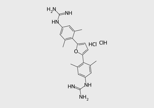 Cc1cc(NC(=N)N)cc(C)c1-c1ccc(-c2c(C)cc(NC(=N)N)cc2C)o1.Cl.Cl